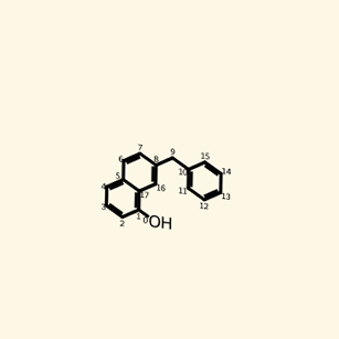 Oc1cccc2ccc(Cc3ccccc3)cc12